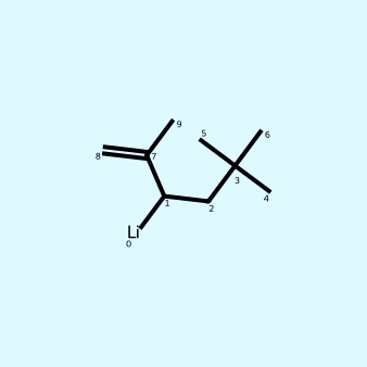 [Li][CH](CC(C)(C)C)C(=C)C